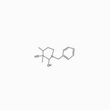 CC1CCN(Cc2ccccc2)C(O)C1(C)O